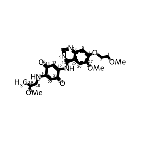 COCCOc1cc2ncnc(NC3=CC(=O)C(NCC(C)OC)=CC3=O)c2cc1OC